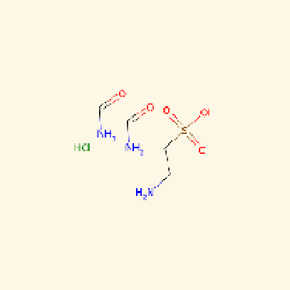 Cl.NC=O.NC=O.NCCS(=O)(=O)O